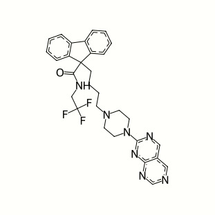 O=C(NCC(F)(F)F)C1(CCCCN2CCN(c3ncc4cncnc4n3)CC2)c2ccccc2-c2ccccc21